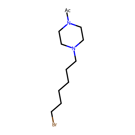 CC(=O)N1CCN(CCCCCCBr)CC1